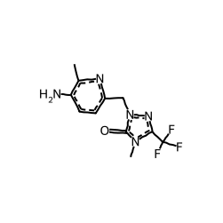 Cc1nc(Cn2nc(C(F)(F)F)n(C)c2=O)ccc1N